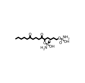 CCCCCC(=O)CCCC(=O)C(CCCCOP(N)(=O)O)OP(N)(=O)O